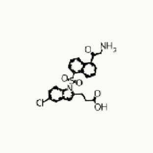 NCC(=O)c1cccc2c(S(=O)(=O)n3c(CCC(=O)O)cc4cc(Cl)ccc43)cccc12